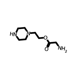 NCC(=O)OCCN1CCNCC1